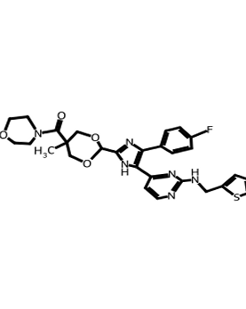 CC1(C(=O)N2CCOCC2)COC(c2nc(-c3ccc(F)cc3)c(-c3ccnc(NCc4cccs4)n3)[nH]2)OC1